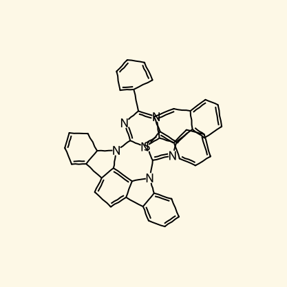 C1=CCC2C(=C1)c1ccc3c4ccccc4n(-c4nc5c(ccc6ccccc65)s4)c3c1N2c1nc(-c2ccccc2)nc(-c2ccccc2)n1